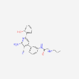 CCCNCC(=O)Nc1cccc(-c2cc(-c3ccccc3O)nc(N)c2C#N)c1